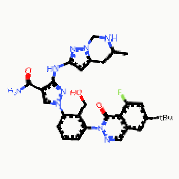 CC1Cc2cc(Nc3nn(-c4cccc(-n5ncc6cc(C(C)(C)C)cc(F)c6c5=O)c4CO)cc3C(N)=O)nn2CN1